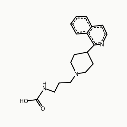 O=C(O)NCCCN1CCC(c2nccc3ccccc23)CC1